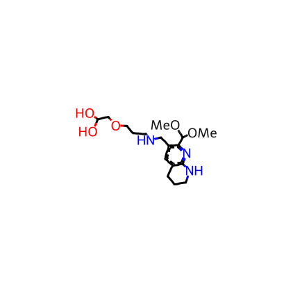 COC(OC)c1nc2c(cc1CNCCCOCC(O)O)CCCN2